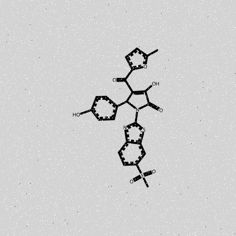 Cc1ccc(C(=O)C2=C(O)C(=O)N(c3nc4ccc(S(C)(=O)=O)cc4s3)C2c2ccc(O)cc2)o1